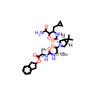 CC(C)[C@H](NC(=O)N[C@H](C(=O)N1C[C@H]2[C@@H]([C@H]1C(=O)NC(CC1CC1)C(=O)C(N)=O)C2(C)C)C(C)(C)C)C(=O)OC1Cc2ccccc2C1